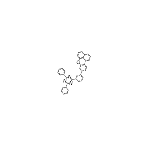 c1ccc(-c2nc(-c3ccccc3)nc(-c3cccc(-c4ccc5c(c4)Oc4cccc6cccc-5c46)c3)n2)cc1